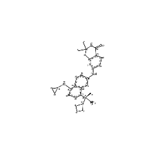 CC1(C)Cc2nc(Nc3cc4c([C@](C)(N)C5CCC5)cnc(OC5CC5)c4cn3)ccc2C(=O)O1